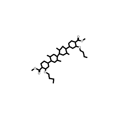 CCCCOC1CC(C2CC(C)C(C3CC(C)C(C4CCC(C(=O)OC)C(OCCCC)C4)CC3C)CC2C)CCC1C(=O)OC